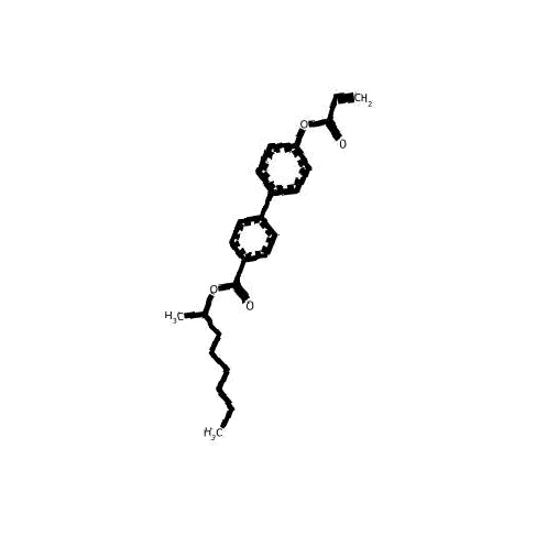 C=CC(=O)Oc1ccc(-c2ccc(C(=O)OC(C)CCCCCC)cc2)cc1